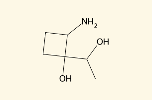 CC(O)C1(O)CCC1N